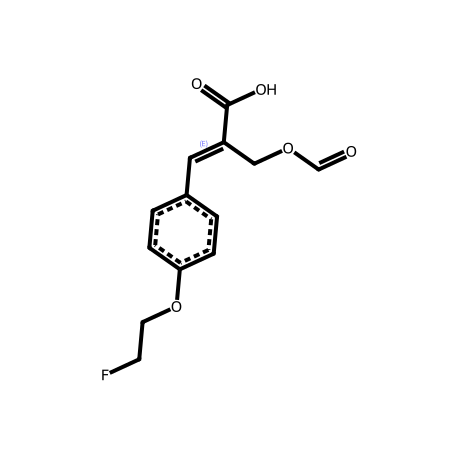 O=COC/C(=C\c1ccc(OCCF)cc1)C(=O)O